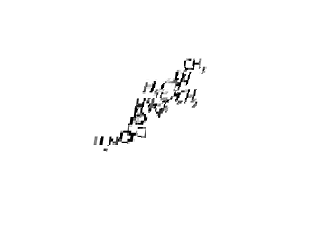 Cc1cc(C)n(C(C)c2nnc(Nc3ccn(Cc4cc(N)ccc4Cl)n3)s2)n1